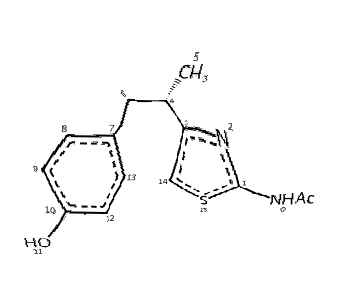 CC(=O)Nc1nc([C@@H](C)Cc2ccc(O)cc2)cs1